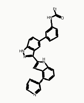 CCC(=O)Nc1cccc(-c2ccc3[nH]nc(-c4cc5c(-c6cccnc6)cccc5[nH]4)c3c2)c1